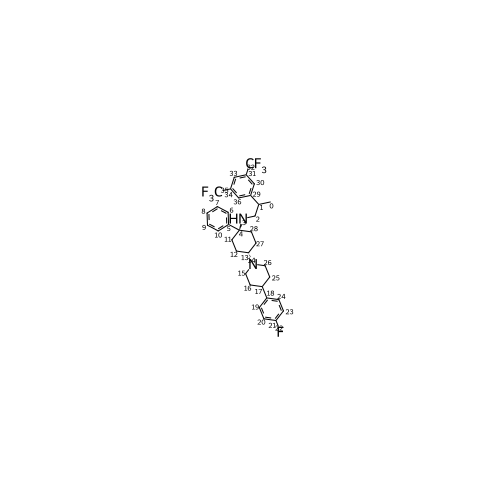 CC(CN[C@]1(c2ccccc2)CC[C@@H](N2CCC(c3ccc(F)cc3)CC2)CC1)c1cc(C(F)(F)F)cc(C(F)(F)F)c1